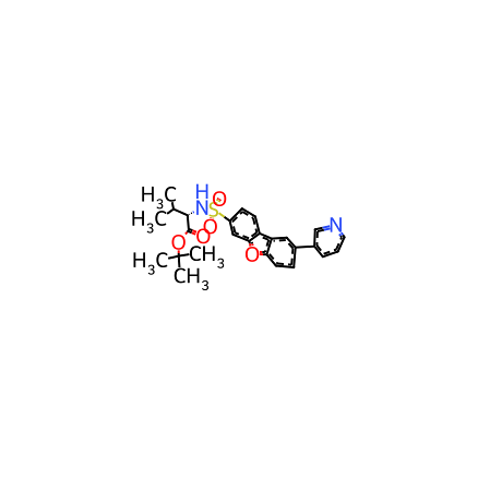 CC(C)[C@H](NS(=O)(=O)c1ccc2c(c1)oc1ccc(-c3cccnc3)cc12)C(=O)OC(C)(C)C